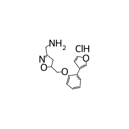 Cl.NCC1=NOC(COc2ccccc2-c2ccoc2)C1